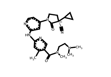 Cc1cc(Nc2cc(N3CC[C@@](C#N)(C4CC4)C3=O)ccn2)ncc1C(=O)N(C)CCN(C)C